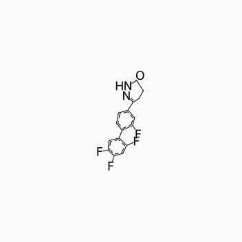 O=C1CCC(c2ccc(-c3cc(F)c(F)cc3F)c(F)c2)=NN1